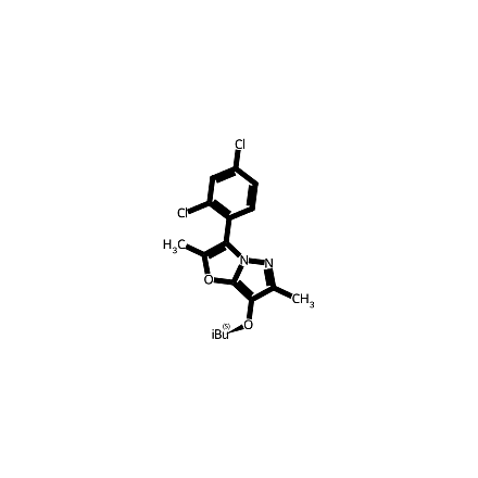 CC[C@H](C)Oc1c(C)nn2c(-c3ccc(Cl)cc3Cl)c(C)oc12